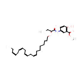 CC/C=C\C/C=C\C/C=C\C/C=C\CCCCCCCOC(CC)C(=O)Nc1ccc(O)c(C(=O)OC)c1